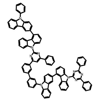 c1ccc(-c2cc(-c3cccc(-c4cccc(-n5c6ccccc6c6cc(-c7cccc8c7c7ccccc7n8-c7nc(-c8ccccc8)nc(-c8ccccc8)n7)ccc65)c4)c3)nc(-n3c4ccccc4c4c(-c5ccc6c(c5)c5ccccc5n6-c5ccccc5)cccc43)n2)cc1